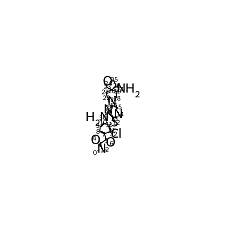 CN(C)C(=O)C(=O)c1cccc(Sc2ncc(N3CCC4(CC3)COCC4N)nc2N)c1Cl